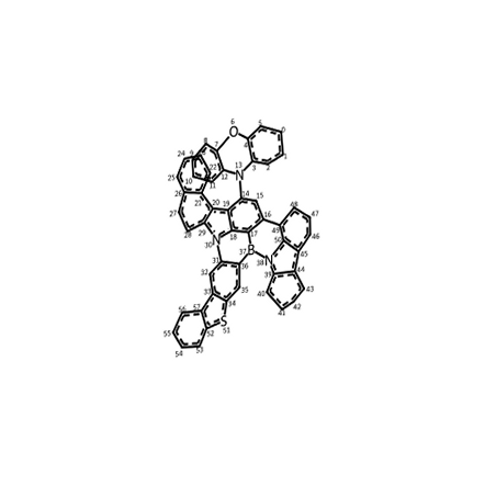 c1ccc2c(c1)Oc1ccccc1N2c1cc2c3c4c1c1c5ccccc5ccc1n4-c1cc4c(cc1B3n1c3ccccc3c3cccc-2c31)sc1ccccc14